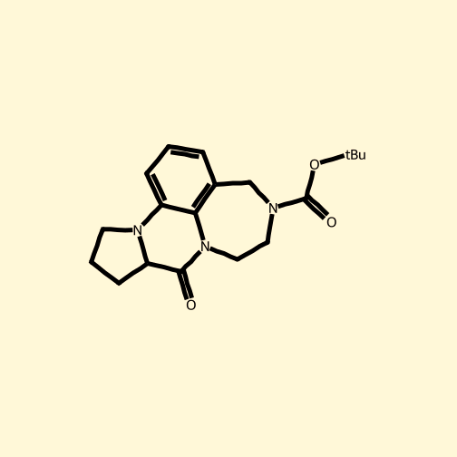 CC(C)(C)OC(=O)N1CCN2C(=O)C3CCCN3c3cccc(c32)C1